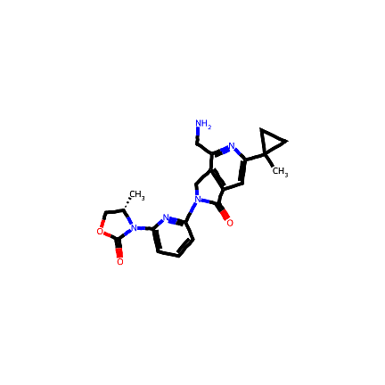 C[C@H]1COC(=O)N1c1cccc(N2Cc3c(cc(C4(C)CC4)nc3CN)C2=O)n1